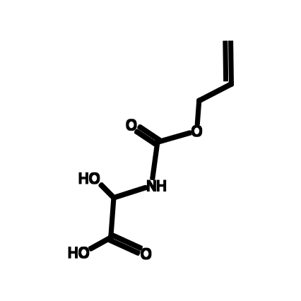 C=CCOC(=O)NC(O)C(=O)O